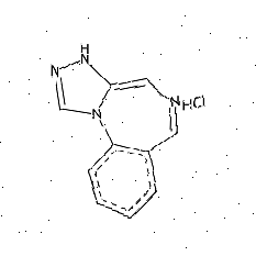 C1=NC=C2NN=CN2c2ccccc21.Cl